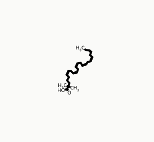 CC/C=C\C/C=C\C/C=C\C/C=C\C/C=C\C/C=C\CCCC(C)(C)C(=O)O